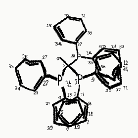 CC(P(c1ccccc1)c1ccccc1)(P(c1ccccc1)c1ccccc1)P(c1ccccc1)c1ccccc1